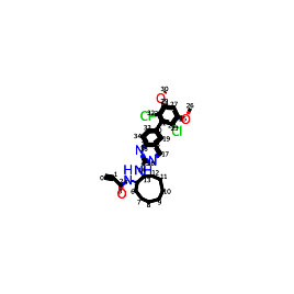 C#CC(=O)N[C@@H]1CCCCCCCC1Nc1ncc2cc(-c3c(Cl)c(OC)cc(OC)c3Cl)ccc2n1